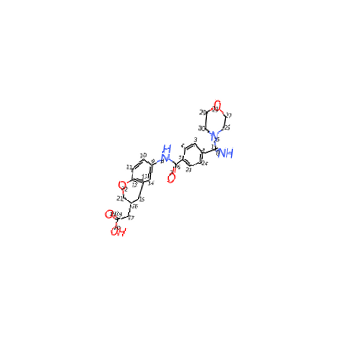 N=C(c1ccc(C(=O)Nc2ccc3c(c2)CC(CC(=O)O)CO3)cc1)N1CCOCC1